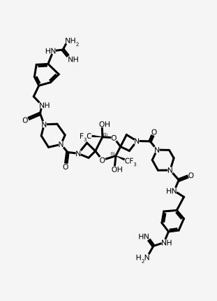 N=C(N)Nc1ccc(CNC(=O)N2CCN(C(=O)N3CC4(C3)O[C@](O)(C(F)(F)F)C3(CN(C(=O)N5CCN(C(=O)NCc6ccc(NC(=N)N)cc6)CC5)C3)O[C@]4(O)C(F)(F)F)CC2)cc1